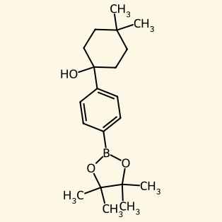 CC1(C)CCC(O)(c2ccc(B3OC(C)(C)C(C)(C)O3)cc2)CC1